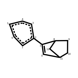 C1=C(c2ccccc2)[C]2CC[C]1C2